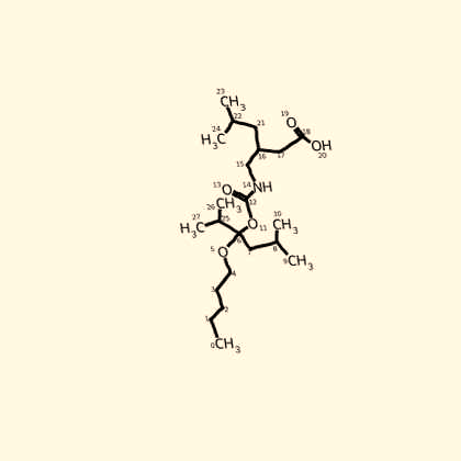 CCCCCOC(CC(C)C)(OC(=O)NCC(CC(=O)O)CC(C)C)C(C)C